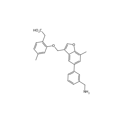 Cc1ccc(CC(=O)O)c(OCc2coc3c(C)cc(-c4cccc(CN)c4)cc23)c1